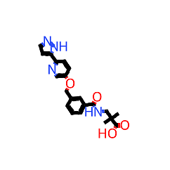 CC(C)(CNC(=O)c1cccc(COc2ccc(-c3ccn[nH]3)nc2)c1)C(=O)O